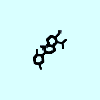 Cc1ccc(C)c(-c2ccc3c(C(C)C)c(F)ccc3[n+]2C)c1